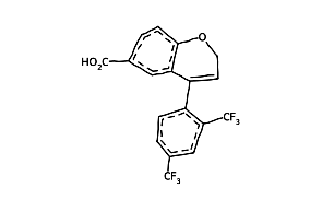 O=C(O)c1ccc2c(c1)C(c1ccc(C(F)(F)F)cc1C(F)(F)F)=CCO2